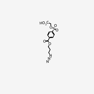 [N-]=[N+]=NCCCOC(=O)c1ccc(S(=O)(=O)OCC(=O)O)cc1